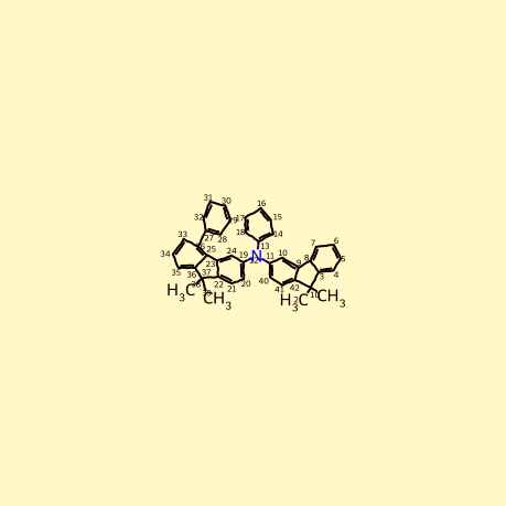 CC1(C)c2ccccc2-c2cc(N(c3ccccc3)c3ccc4c(c3)-c3c(-c5ccccc5)cccc3C4(C)C)ccc21